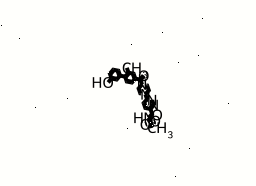 Cc1cc(C(=O)N2CCN(c3ccc(C(=O)NS(C)(=O)=O)nn3)CC2)ccc1-c1cccc(O)c1